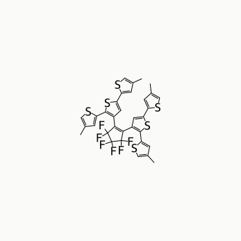 Cc1csc(-c2cc(C3=C(c4cc(-c5cc(C)cs5)sc4-c4cc(C)cs4)C(F)(F)C(F)(F)C3(F)F)c(-c3cc(C)cs3)s2)c1